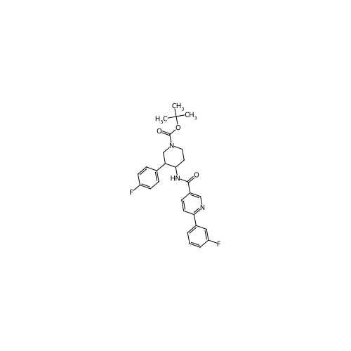 CC(C)(C)OC(=O)N1CCC(NC(=O)c2ccc(-c3cccc(F)c3)nc2)C(c2ccc(F)cc2)C1